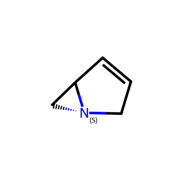 C1=CC2C[N@@]2C1